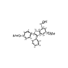 COc1ccc(C2=C(c3ccccc3)c3cc(OC)cc(CO)c3C2)cc1